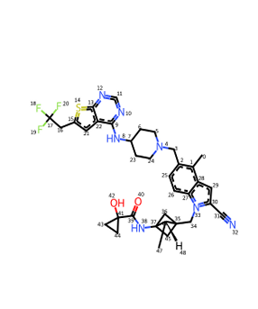 Cc1c(CN2CCC(Nc3ncnc4sc(CC(F)(F)F)cc34)CC2)ccc2c1cc(C#N)n2CC12CC(NC(=O)C3(O)CC3)(C1)[C@H]2C